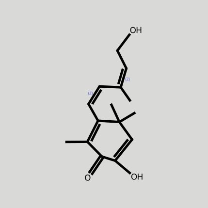 CC1=C(/C=C\C(C)=C/CO)C(C)(C)C=C(O)C1=O